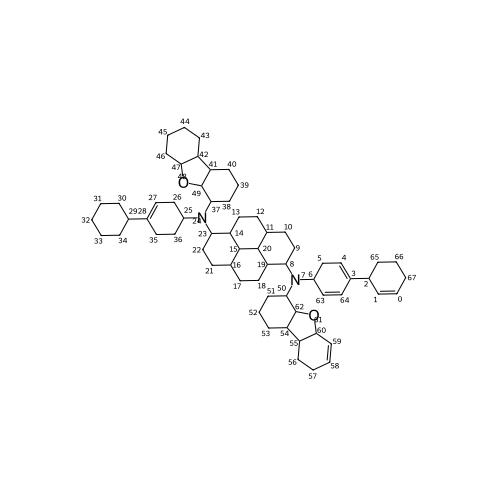 C1=CC(C2=CCC(N(C3CCC4CCC5C6C(CCC3C46)CCC5N(C3CC=C(C4CCCCC4)CC3)C3CCCC4C5CCCCC5OC43)C3CCCC4C5CCC=CC5OC43)C=C2)CCC1